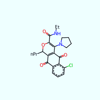 CCCC1OC(C(=O)NCC)=C(N2CCCC2)C2=C1C(=O)c1cccc(Cl)c1C2=O